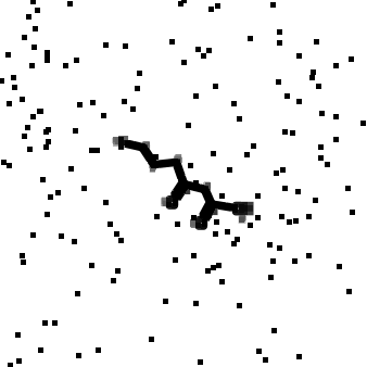 O=C(O)CC(=O)CCCF